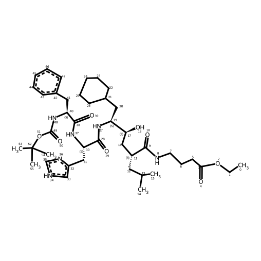 CCOC(=O)CCCNC(=O)[C@H](CC(C)C)C[C@H](O)[C@H](CC1CCCCC1)NC(=O)[C@H](Cc1c[nH]cn1)NC(=O)[C@H](Cc1ccccc1)NC(=O)OC(C)(C)C